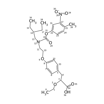 CCOC(Cc1ccc(OCCN(CC(CC)CC)C(=O)Oc2ccc(C)c([N+](=O)[O-])c2)cc1)C(=O)O